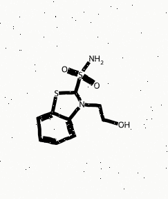 NS(=O)(=O)C1Sc2ccccc2N1CCO